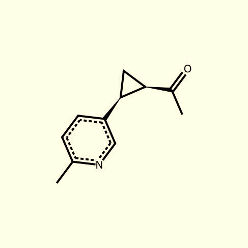 CC(=O)[C@@H]1C[C@@H]1c1ccc(C)nc1